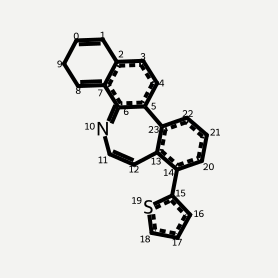 C1=Cc2ccc3c(c2=CC1)=NC=Cc1c(-c2cccs2)cccc1-3